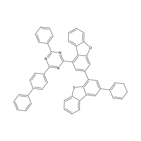 C1=CC(c2cc(-c3cc(-c4nc(-c5ccccc5)nc(-c5ccc(-c6ccccc6)cc5)n4)c4c(c3)oc3ccccc34)c3sc4ccccc4c3c2)=CCC1